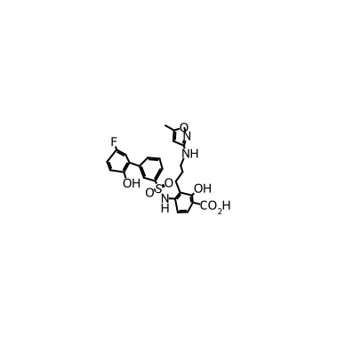 Cc1cc(NCCCc2c(NS(=O)(=O)c3cccc(-c4cc(F)ccc4O)c3)ccc(C(=O)O)c2O)no1